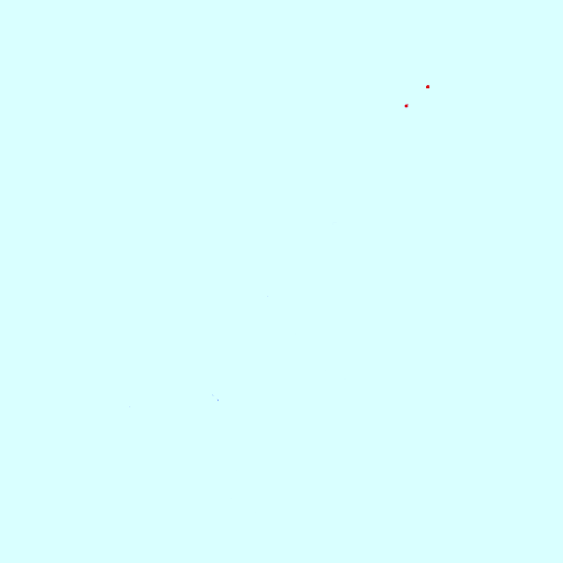 CCC1(CC)c2cc(/C=C/c3ccc(C4=CC=CCC4)c4c(-c5ccccc5)cccc34)ccc2-c2ccc(N(c3ccc4c(c3)CC=C4)c3ccc4c(c3)CC=C4)cc21